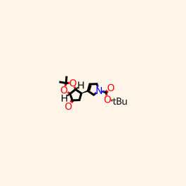 CC(C)(C)OC(=O)N1CC=C([C@H]2CC(=O)[C@@H]3OC(C)(C)O[C@H]23)C1